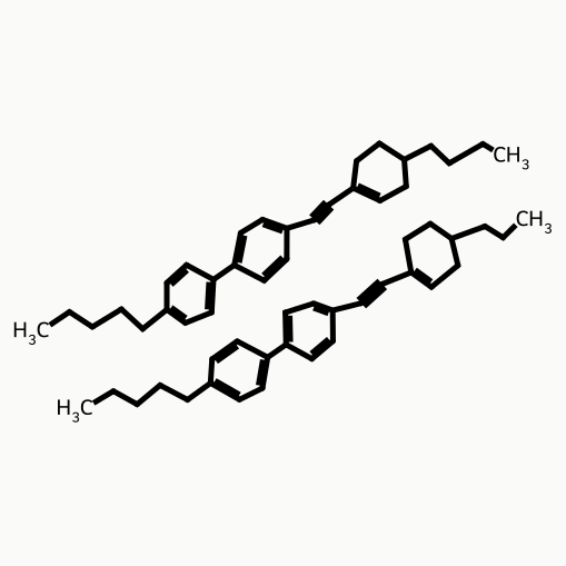 CCCCCc1ccc(-c2ccc(C#CC3=CCC(CCC)CC3)cc2)cc1.CCCCCc1ccc(-c2ccc(C#CC3=CCC(CCCC)CC3)cc2)cc1